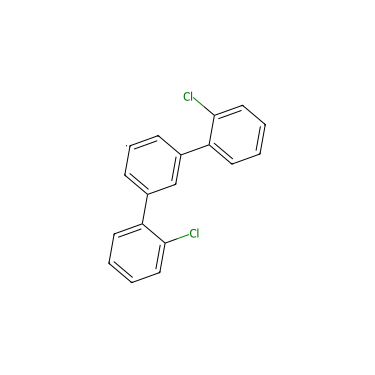 Clc1ccccc1-c1c[c]cc(-c2ccccc2Cl)c1